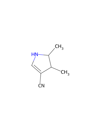 CC1NC=C(C#N)C1C